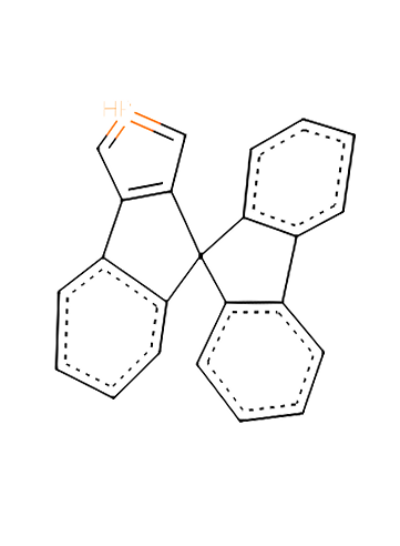 C1=[PH]=CC2=C1c1ccccc1C21c2ccccc2-c2ccccc21